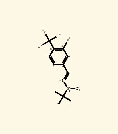 CC(C)(C)[S+]([O-])N=Cc1ccc(C(F)(F)F)c(F)c1